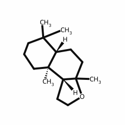 CC1(C)CCC[C@@]2(C)[C@H]1CCC1(C)OCC[C@@H]12